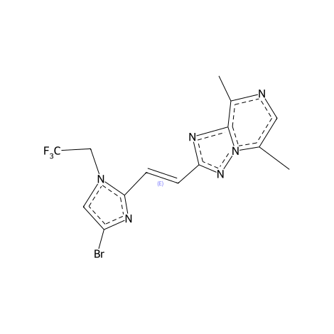 Cc1ncc(C)n2nc(/C=C/c3nc(Br)cn3CC(F)(F)F)nc12